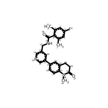 Cc1cc(F)cc(C)c1C(=O)NCc1cncc(-c2ccc3c(c2)CCC(=O)N3C)c1